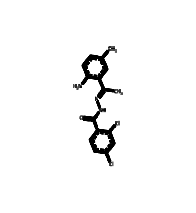 C/C(=N\NC(=O)c1ccc(Cl)cc1Cl)c1cc(C)ccc1N